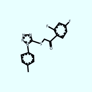 Cc1ccc(-n2nnnc2SCC(=O)c2ccc(F)cc2F)cc1